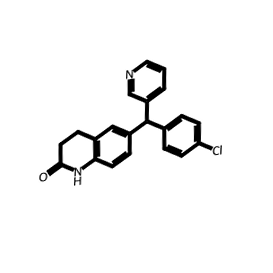 O=C1CCc2cc(C(c3ccc(Cl)cc3)c3cccnc3)ccc2N1